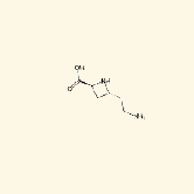 NCC[C@@H]1C[C@@H](C(=O)O)N1